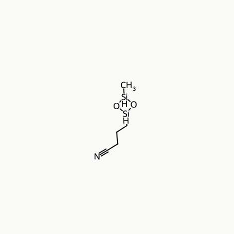 C[SiH]1O[SiH](CCCC#N)O1